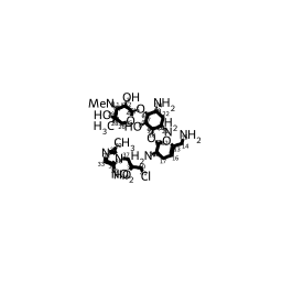 CN[C@@H]1[C@@H](O)[C@@H](O[C@@H]2[C@H](O)[C@H](O[C@H]3OC(CN)=CC[C@H]3N)[C@@H](N)C[C@H]2N)OC[C@]1(C)O.Cc1ncc([N+](=O)[O-])n1CC(O)CCl